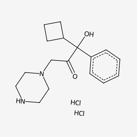 Cl.Cl.O=C(CN1CCNCC1)C(O)(c1ccccc1)C1CCC1